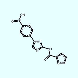 O=C(Nc1ncc(-c2ccc([N+](=O)O)cc2)s1)c1ccco1